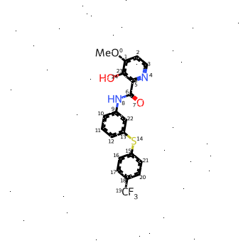 COc1ccnc(C(=O)Nc2cccc(Sc3ccc(C(F)(F)F)cc3)c2)c1O